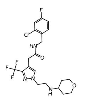 O=C(Cc1cn(CCNC2CCOCC2)nc1C(F)(F)F)NCc1ccc(F)cc1Cl